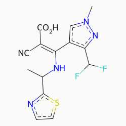 CC(NC(=C(C#N)C(=O)O)c1cn(C)nc1C(F)F)c1nccs1